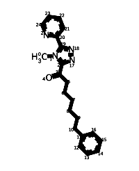 Cn1c(C(=O)CCCCCCc2ccccc2)nnc1-c1ccccn1